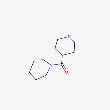 O=C(C1CC[N]CC1)N1CCCCC1